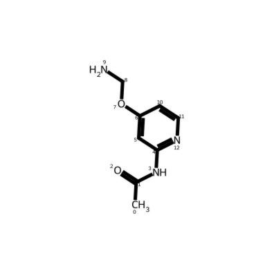 CC(=O)Nc1cc(OCN)ccn1